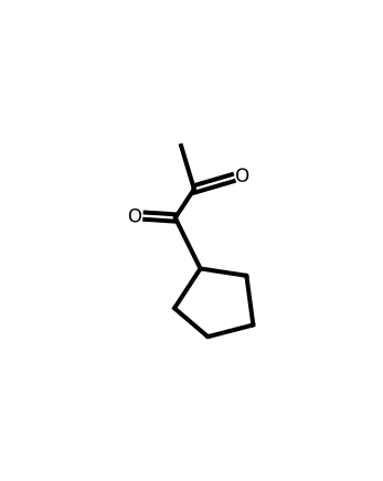 CC(=O)C(=O)C1CCCC1